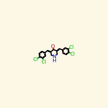 O=C1/C(=C/c2ccc(Cl)c(Cl)c2)CNC/C1=C\c1ccc(Cl)c(Cl)c1